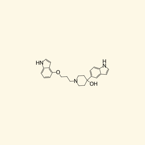 OC1(c2ccc3[nH]ccc3c2)CCN(CCCOc2cccc3[nH]ccc23)CC1